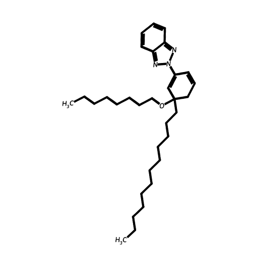 CCCCCCCCCCCCC1(OCCCCCCCC)C=C(n2nc3ccccc3n2)C=CC1